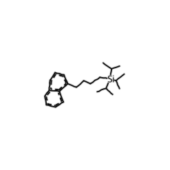 CC(C)[Si](CCCCc1cccc2ccccc12)(C(C)C)C(C)C